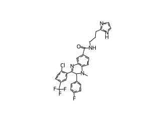 CN1c2ccc(C(=O)NCCCc3ncc[nH]3)cc2N=C(c2cc(C(F)(F)F)ccc2Cl)C1c1ccc(F)cc1